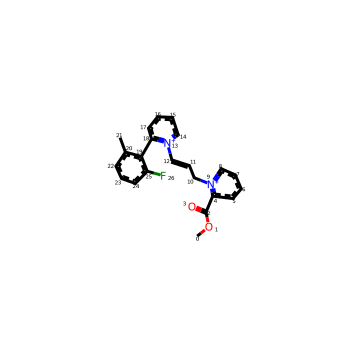 COC(=O)c1cccc[n+]1C/C=C/[n+]1ccccc1-c1c(C)cccc1F